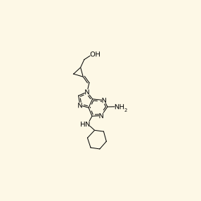 Nc1nc(NC2CCCCC2)c2ncn(C=C3CC3CO)c2n1